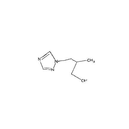 CC(CO)Cn1cncn1